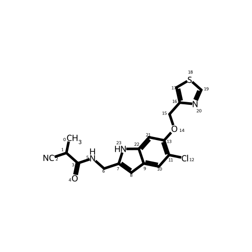 CC(C#N)C(=O)NCc1cc2cc(Cl)c(OCc3cscn3)cc2[nH]1